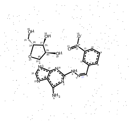 Nc1nc(N/N=C\c2cccc([N+](=O)[O-])c2)nc2c1ncn2[C@@H]1O[C@H](CO)[C@@H](O)[C@H]1O